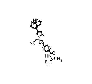 C[C@H](NC(=O)c1cnc(N2CC(CC#N)(n3cc(-c4ccnc5[nH]ccc45)cn3)C2)cn1)C(F)(F)F